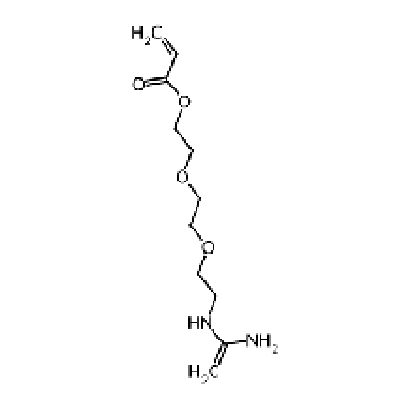 C=CC(=O)OCCOCCOCCNC(=C)N